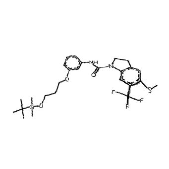 CSc1cc2c(cc1C(F)(F)F)N(C(=O)Nc1cccc(OCCCO[Si](C)(C)C(C)(C)C)c1)CC2